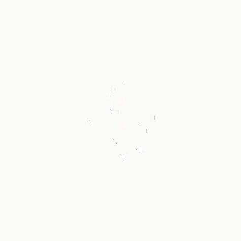 CC(C)(C)OC(=O)NC1CCN(Cc2cccc(-c3cnc4[nH]cc(C(=O)C(C)(C)C)c4n3)c2)C1